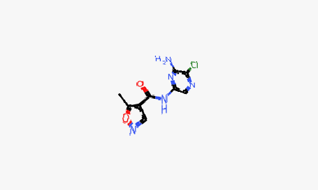 Cc1oncc1C(=O)Nc1cnc(Cl)c(N)n1